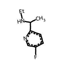 CCNC(C)c1ccc(F)cn1